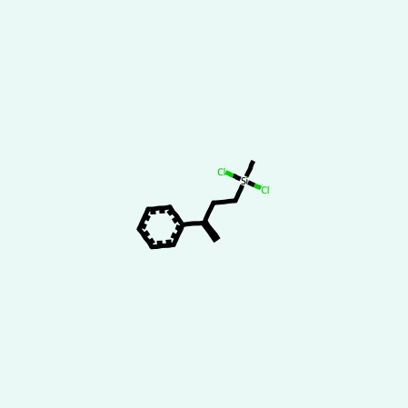 C=C(CC[Si](C)(Cl)Cl)c1ccccc1